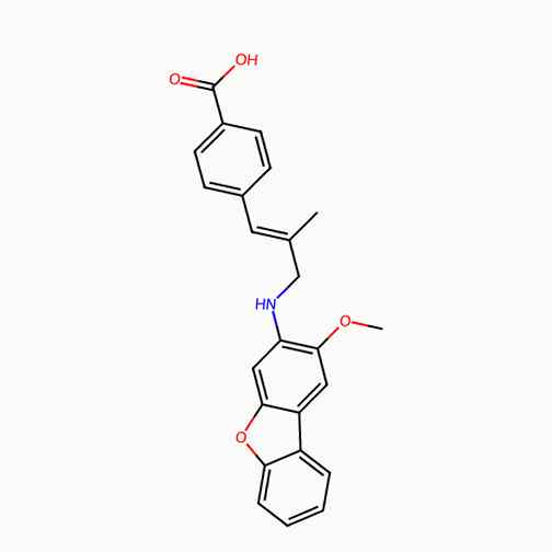 COc1cc2c(cc1NCC(C)=Cc1ccc(C(=O)O)cc1)oc1ccccc12